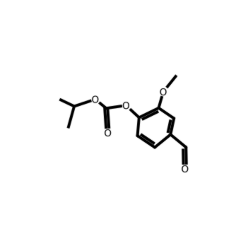 COc1cc(C=O)ccc1OC(=O)OC(C)C